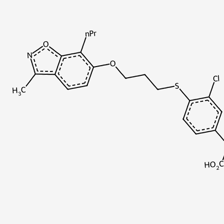 CCCc1c(OCCCSc2ccc(CC(=O)O)cc2Cl)ccc2c(C)noc12